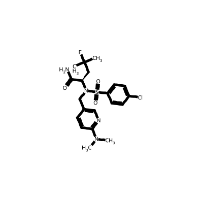 CN(C)c1ccc(CN([C@H](CC(C)(C)F)C(N)=O)S(=O)(=O)c2ccc(Cl)cc2)cn1